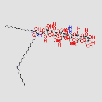 CCCCCCCC/C=C\CCCCCCCCCCCCCCCC(=O)N[C@@H](CO[C@@H]1OC(CO)[C@@H](O[C@@H]2OC(CO)[C@H](O)[C@H](O[C@H]3OC(CO)[C@H](O)[C@H](O[C@@H]4OC(CO)[C@H](O)[C@H](O[C@@H]5OC(CO)[C@H](O)[C@H](O[C@H]6OC(CO)[C@H](O)[C@H](O)C6O)C5O)C4NC(C)=O)C3O)C2O)[C@H](O)C1O)[C@H](O)/C=C/CCCCCCCCCCCCC